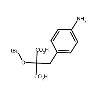 CC(C)(C)OC(Cc1ccc(N)cc1)(C(=O)O)C(=O)O